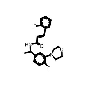 CC(NC(=O)C=Cc1ccccc1F)c1ccc(F)c(N2CCOCC2)c1